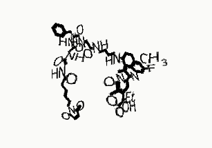 CC[C@@]1(O)C(=O)OCc2c1cc1n(c2=O)Cc2c-1nc1cc(F)c(C)c3c1c2[C@@H](NCCCCNC(=O)CNC(=O)[C@H](Cc1ccccc1)NC(=O)CNC(=O)CNC(=O)CCCCCN1C(=O)C=CC1=O)CC3